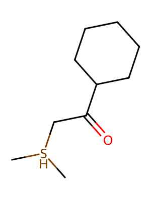 C[SH](C)CC(=O)C1CCCCC1